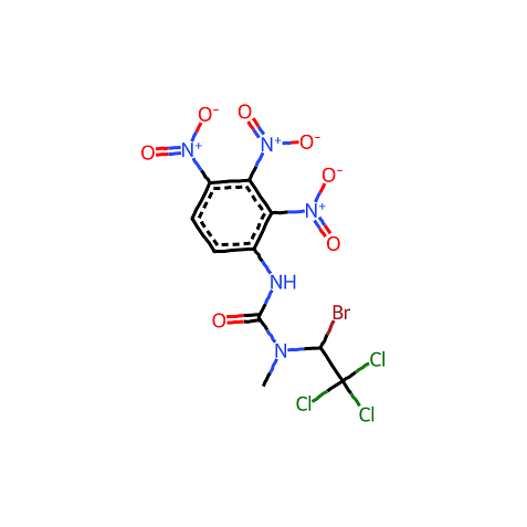 CN(C(=O)Nc1ccc([N+](=O)[O-])c([N+](=O)[O-])c1[N+](=O)[O-])C(Br)C(Cl)(Cl)Cl